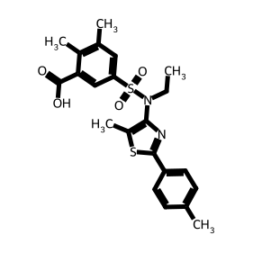 CCN(c1nc(-c2ccc(C)cc2)sc1C)S(=O)(=O)c1cc(C)c(C)c(C(=O)O)c1